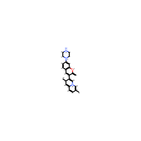 C=C1Oc2cc(N3CCNCC3)ccc2C=C1C1=CN2C=C(C)C=CC2=CC1C